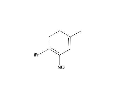 CC1=CC(N=O)=C(C(C)C)CC1